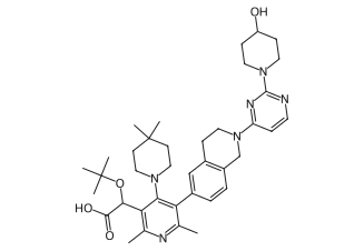 Cc1nc(C)c(C(OC(C)(C)C)C(=O)O)c(N2CCC(C)(C)CC2)c1-c1ccc2c(c1)CCN(c1ccnc(N3CCC(O)CC3)n1)C2